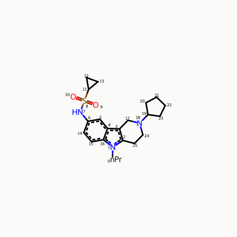 CCCn1c2c(c3cc(NS(=O)(=O)C4CC4)ccc31)CN(C1CCCC1)CC2